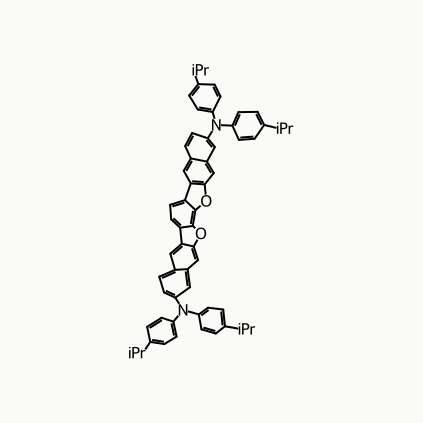 CC(C)c1ccc(N(c2ccc(C(C)C)cc2)c2ccc3cc4c(cc3c2)oc2c4ccc3c4cc5ccc(N(c6ccc(C(C)C)cc6)c6ccc(C(C)C)cc6)cc5cc4oc32)cc1